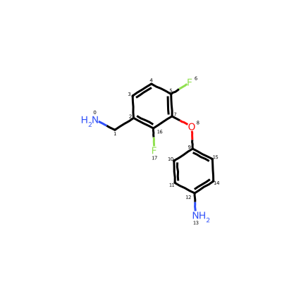 NCc1ccc(F)c(Oc2ccc(N)cc2)c1F